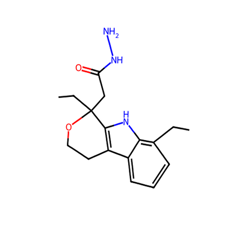 CCc1cccc2c3c([nH]c12)C(CC)(CC(=O)NN)OCC3